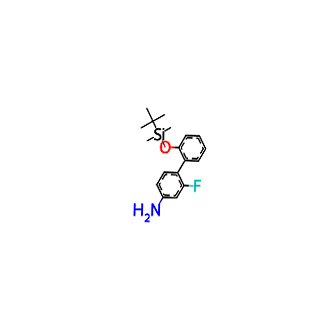 CC(C)(C)[Si](C)(C)Oc1ccccc1-c1ccc(N)cc1F